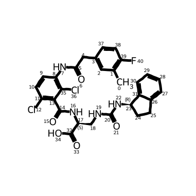 Cc1cc(CC(=O)Nc2ccc(Cl)c(C(=O)N[C@@H](CNC(=O)N[C@@H]3CCc4ccccc43)C(=O)O)c2Cl)ccc1F